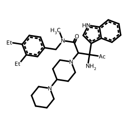 CCc1ccc(CN(C)C(=O)C(N2CCC(N3CCCCC3)CC2)C(N)(C(C)=O)c2c[nH]c3ccccc23)cc1CC